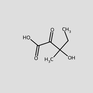 CCC(C)(O)C(=O)C(=O)O